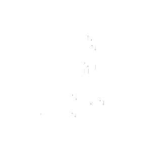 Cc1cc(C(F)(F)F)cc(N2C(=O)C(CNc3cc(C)n(C)n3)C[C@H]2C(=O)N(C)c2ccc(F)c(Cl)c2)n1